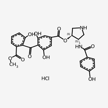 COC(=O)c1cccc(O)c1C(=O)c1c(O)cc(C(=O)O[C@H]2CNC[C@@H]2NC(=O)c2ccc(O)cc2)cc1O.Cl